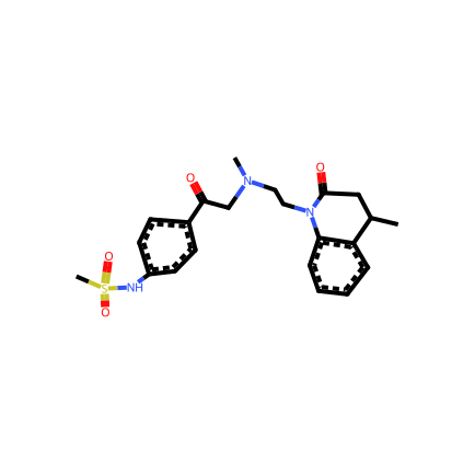 CC1CC(=O)N(CCN(C)CC(=O)c2ccc(NS(C)(=O)=O)cc2)c2ccccc21